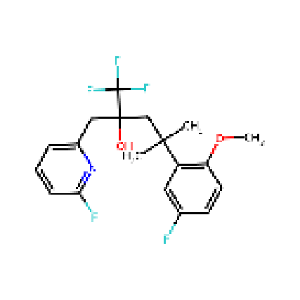 COc1ccc(F)cc1C(C)(C)CC(O)(Cc1cccc(F)n1)C(F)(F)F